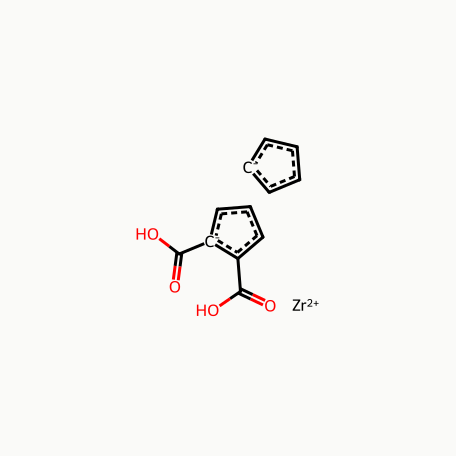 O=C(O)c1ccc[c-]1C(=O)O.[Zr+2].c1cc[cH-]c1